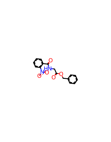 O=C(CNC(=O)c1ccccc1[N+](=O)[O-])OCc1ccccc1